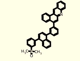 CP(C)(=O)c1cccc(-c2ccc(-c3cccc(-c4cc5nc6ccccc6cc5c5ccccc45)c3)c3ccccc23)c1